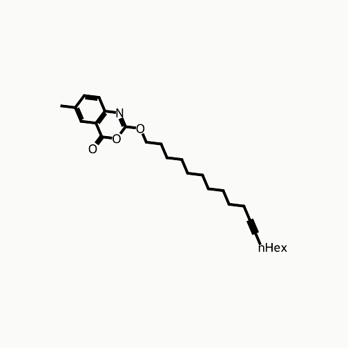 CCCCCCC#CCCCCCCCCCCOc1nc2ccc(C)cc2c(=O)o1